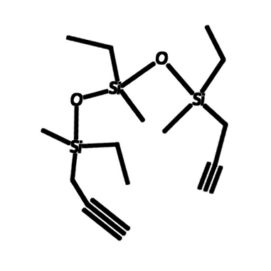 C#CC[Si](C)(CC)O[Si](C)(CC)O[Si](C)(CC)CC#C